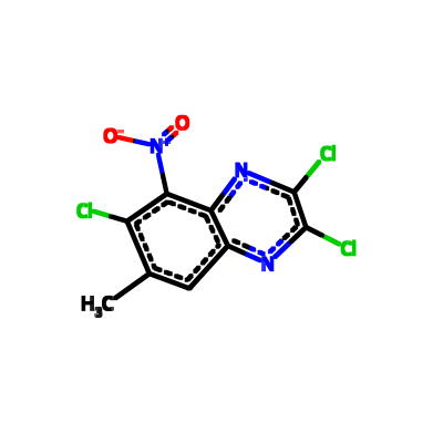 Cc1cc2nc(Cl)c(Cl)nc2c([N+](=O)[O-])c1Cl